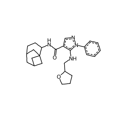 O=C(NC1CCC2CC3CC1(C2)C3)c1cnn(-c2ccccc2)c1NCC1CCCO1